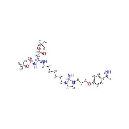 CC(=N)c1ccc(OCCCn2ccn(CCCCCCCN/C(=N\C(=O)OC(C)(C)C)NC(=O)OC(C)(C)C)c2=N)cc1